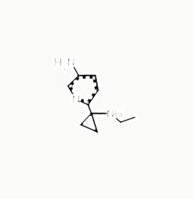 CCNC1(c2ccc(N)cn2)CC1